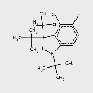 CC(C)(C)N1CC(C(C)(C)C)(C(C)(C)C)c2c1ccc(F)c2Cl